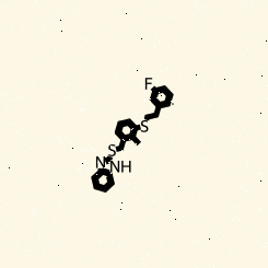 Cc1c(CSc2nc3ccccc3[nH]2)cccc1SCCc1[c]ccc(F)c1